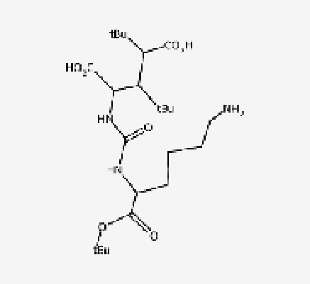 CC(C)(C)OC(=O)C(CCCCN)NC(=O)NC(C(=O)O)C(C(C(=O)O)C(C)(C)C)C(C)(C)C